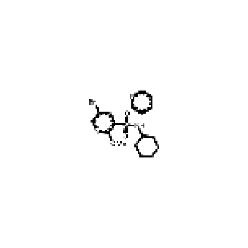 COc1ncc(Br)cc1S(=O)(=O)NC1CCCCC1.c1ccncc1